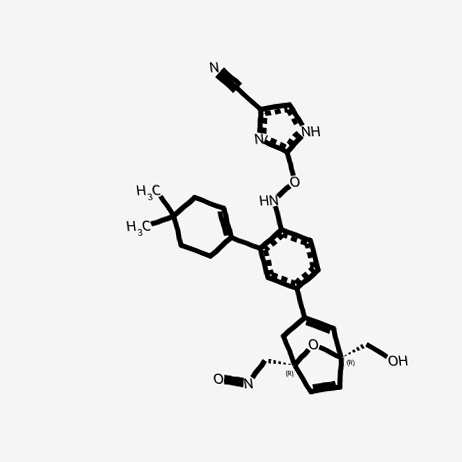 CC1(C)CC=C(c2cc(C3=C[C@@]4(CO)C=C[C@@](CN=O)(C3)O4)ccc2NOc2nc(C#N)c[nH]2)CC1